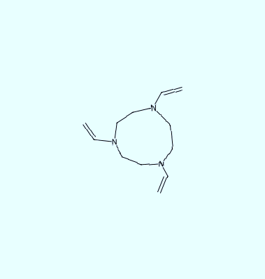 C=CN1CCN(C=C)CCN(C=C)CC1